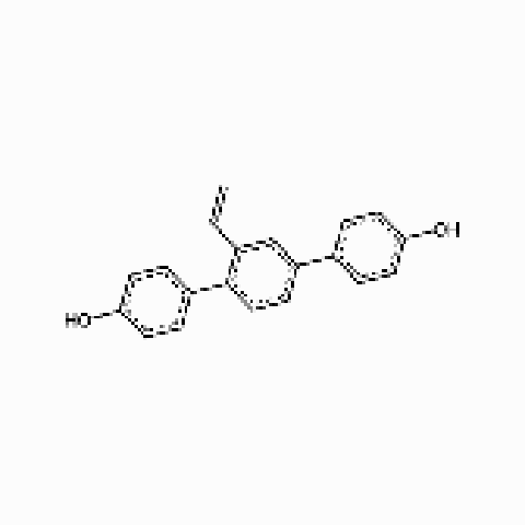 C=Cc1cc(-c2ccc(O)cc2)ccc1-c1ccc(O)cc1